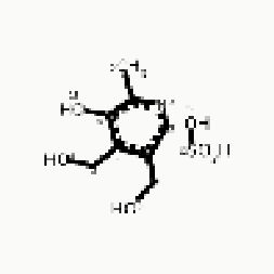 Cc1ncc(CO)c(CO)c1O.O=S(=O)(O)O